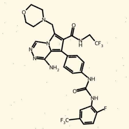 Nc1nncn2c(CN3CCOCC3)c(C(=O)NCC(F)(F)F)c(-c3ccc(NC(=O)Nc4cc(C(F)(F)F)ccc4F)cc3)c12